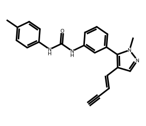 C#CC=Cc1cnn(C)c1-c1cccc(NC(=O)Nc2ccc(C)cc2)c1